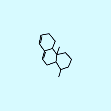 CC1CCCC2(C)C3CCC=CC3=CCC12